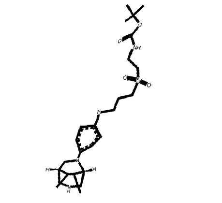 CC1C(C)[C@H]2CNC[C@@H]1CN2c1ccc(OCCCS(=O)(=O)CCNC(=O)OC(C)(C)C)cc1